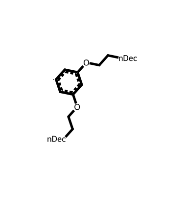 CCCCCCCCCCCCOc1c[c]cc(OCCCCCCCCCCCC)c1